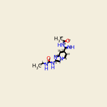 CCNC(=O)Nc1cn2ccc(C(=N)NC(C)=O)cc2n1